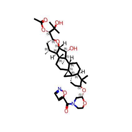 CC(=O)O[C@@H]([C@H]1C[C@@H](C)[C@H]2[C@H](O1)[C@H](O)[C@@]1(C)[C@@H]3CC[C@H]4C(C)(C)[C@@H](O[C@H]5CN(C(=O)c6ccno6)CCO5)CC[C@@]45C[C@@]35CC[C@]21C)C(C)(C)O